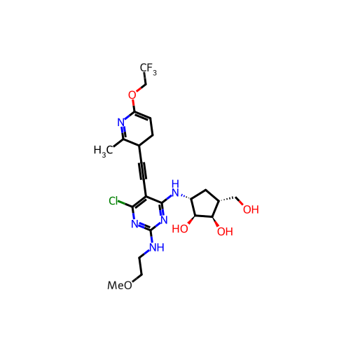 COCCNc1nc(Cl)c(C#CC2CC=C(OCC(F)(F)F)N=C2C)c(N[C@@H]2C[C@H](CO)[C@@H](O)[C@H]2O)n1